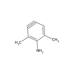 Cc1c#ccc(C)c1N